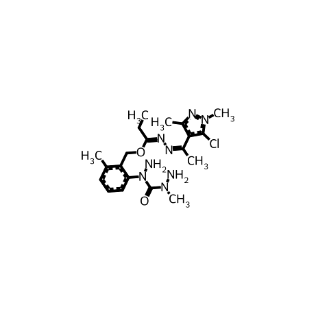 CC/C(=N/N=C(C)c1c(C)nn(C)c1Cl)OCc1c(C)cccc1N(N)C(=O)N(C)N